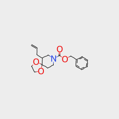 C=CCC1CN(C(=O)OCc2ccccc2)CCC12OCCO2